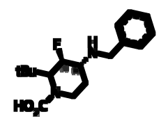 CC(C)(C)C1[C@@H](F)[C@H](NCc2ccccc2)CCN1C(=O)O